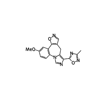 COc1ccc2c(c1)-c1oncc1Cc1c(-c3nc(C)no3)ncn1-2